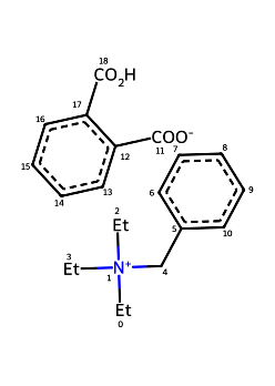 CC[N+](CC)(CC)Cc1ccccc1.O=C([O-])c1ccccc1C(=O)O